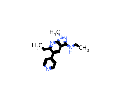 CCNc1nn(C)c2nc(CC)c(-c3ccncc3)cc12